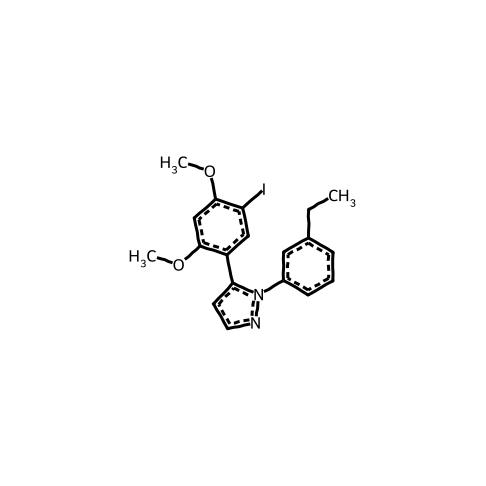 CCc1cccc(-n2nccc2-c2cc(I)c(OC)cc2OC)c1